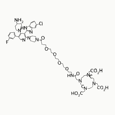 NC1CCN(c2c(-c3cccc(F)c3)cnc(N3CCN(C(=O)CCOCCOCCOCCOCCNC(=O)CN4CCN(CC(=O)O)CCN(CC(=O)O)CCN(CC(=O)O)CC4)CC3)c2-c2nc3cc(Cl)ccc3[nH]2)CC1